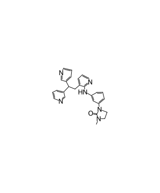 CN1CCN(c2cccc(Nc3ncccc3CC(c3cccnc3)c3cccnc3)c2)C1=O